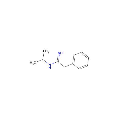 CC(C)NC(=N)Cc1ccccc1